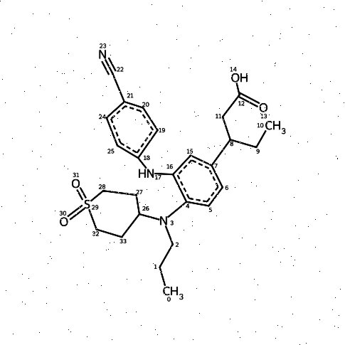 CCCN(c1ccc(C(CC)CC(=O)O)cc1Nc1ccc(C#N)cc1)C1CCS(=O)(=O)CC1